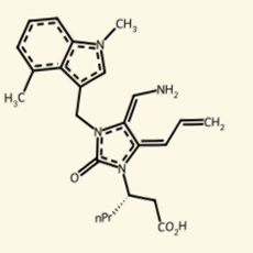 C=C/C=c1\c(=C/N)n(Cc2cn(C)c3cccc(C)c23)c(=O)n1[C@@H](CCC)CC(=O)O